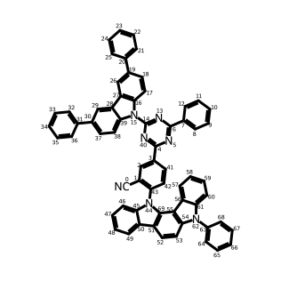 N#Cc1cc(-c2nc(-c3ccccc3)nc(-n3c4ccc(-c5ccccc5)cc4c4cc(-c5ccccc5)ccc43)n2)ccc1-n1c2ccccc2c2ccc3c(c4ccccc4n3-c3ccccc3)c21